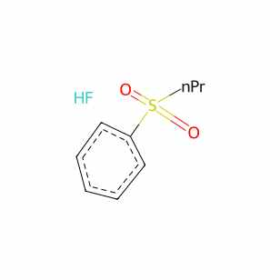 CCCS(=O)(=O)c1ccccc1.F